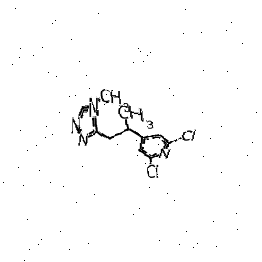 CC(Cc1nncn1C)c1cc(Cl)nc(Cl)c1